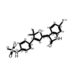 CC1(C)O/C(=C2/C(=O)Nc3cc(F)ccc32)C=C1c1ccc(NS(C)(=O)=O)cc1